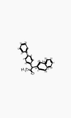 CC(=O)C(c1ccc(-c2ccccc2)cc1)c1ccc2ccccc2c1